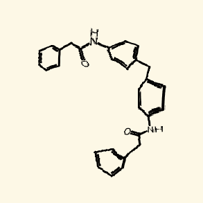 O=C(Cc1ccccc1)Nc1ccc(Cc2ccc(NC(=O)Cc3ccccc3)cc2)cc1